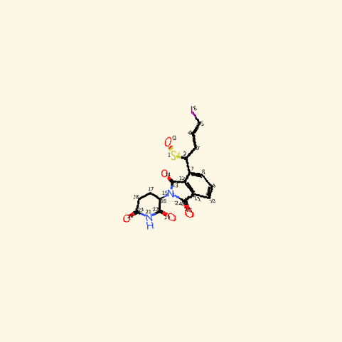 O=[S+]C(CCCI)c1cccc2c1C(=O)N(C1CCC(=O)NC1=O)C2=O